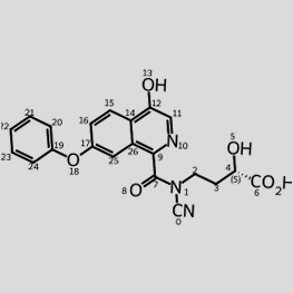 N#CN(CC[C@H](O)C(=O)O)C(=O)c1ncc(O)c2ccc(Oc3ccccc3)cc12